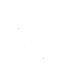 CN1C(=O)[C@@H](N2CCc3cn(Cc4ccccc4C#N)nc3C2=O)COc2ccccc21